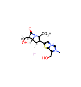 C[C@@H](O)[C@H]1C(=O)N2C(C(=O)O)=C(c3c[n+]4cn(C)c(CO)c4s3)[C@H](C)[C@H]12.[I-]